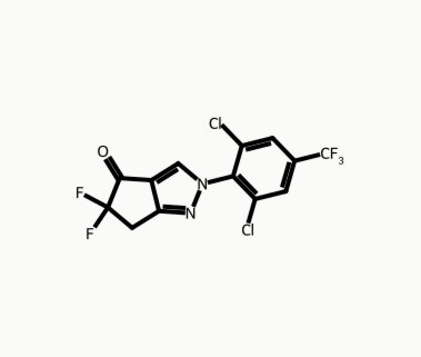 O=C1c2cn(-c3c(Cl)cc(C(F)(F)F)cc3Cl)nc2CC1(F)F